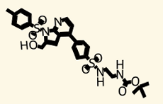 Cc1ccc(S(=O)(=O)n2c(CO)cc3c(-c4ccc(S(=O)(=O)NCCNC(=O)OC(C)(C)C)cc4)ccnc32)cc1